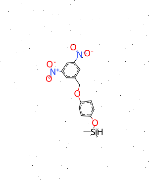 C[SiH](C)Oc1ccc(OCc2cc([N+](=O)[O-])cc([N+](=O)[O-])c2)cc1